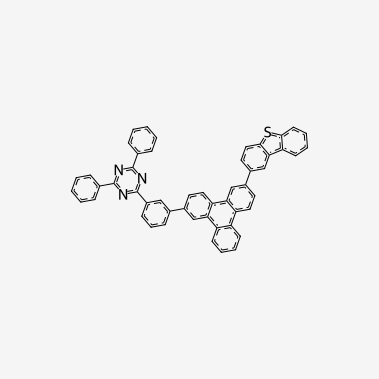 c1ccc(-c2nc(-c3ccccc3)nc(-c3cccc(-c4ccc5c(c4)c4ccccc4c4ccc(-c6ccc7sc8ccccc8c7c6)cc45)c3)n2)cc1